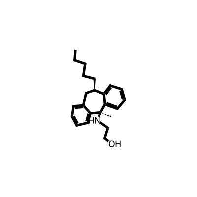 CCCCC[C@@H]1Cc2ccccc2[C@](C)(NCCO)c2ccccc21